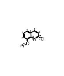 CC(C)Oc1cccc2ccc(Cl)nc12